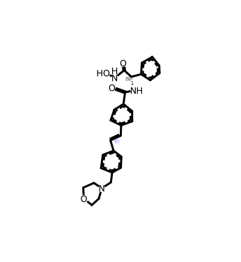 O=C(N[C@H](C(=O)NO)c1ccccc1)c1ccc(/C=C/c2ccc(CN3CCOCC3)cc2)cc1